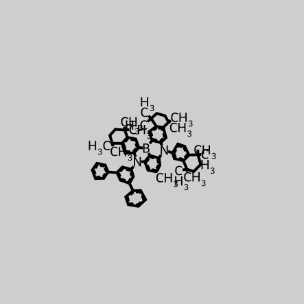 Cc1cc2c3c(c1)N(c1ccc4c(c1)C(C)(C)CCC4(C)C)c1cc4c(cc1B3c1cc3c(cc1N2c1cc(-c2ccccc2)cc(-c2ccccc2)c1)C(C)(C)CCC3(C)C)C(C)(C)CCC4(C)C